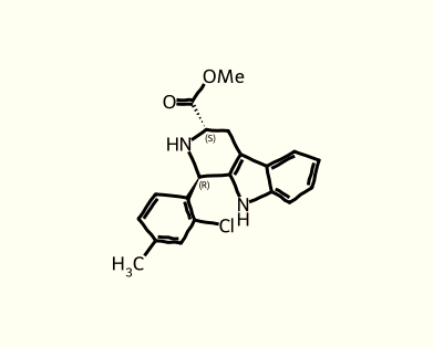 COC(=O)[C@@H]1Cc2c([nH]c3ccccc23)[C@@H](c2ccc(C)cc2Cl)N1